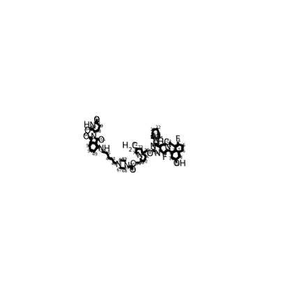 C#Cc1c(F)ccc2cc(O)cc(-c3ncc4c(N5CC6CCC(C5)N6)nc(OCC56CC[C@@H](COC(=O)N7CCN(CCCCCNc8cccc9c8C(=O)N(C8CCC(=O)NC8=O)C9=O)CC7)N5CC(=C)C6)nc4c3F)c12